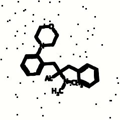 CC(=O)C(Cc1ccccc1)(Cc1ccccc1N1CCOCC1)N(C)C